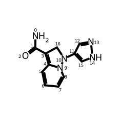 NC(=O)C1=C2C=CC=CN2N(c2cn[nH]c2)C1